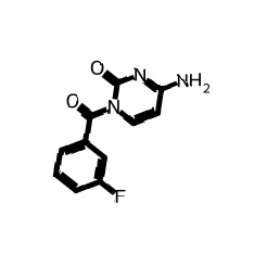 Nc1ccn(C(=O)c2cccc(F)c2)c(=O)n1